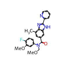 COCN(C(=O)c1cc(C)c2nc(-c3ccccn3)[nH]c2c1)c1ccc(F)c(OC)c1